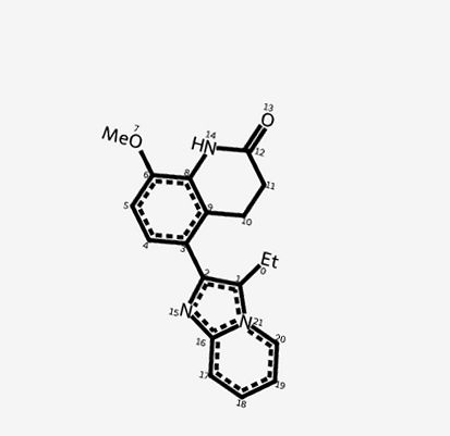 CCc1c(-c2ccc(OC)c3c2CCC(=O)N3)nc2ccccn12